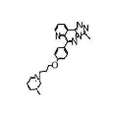 Cc1nnc2c3cccnc3c(-c3ccc(OCCCN4CCC[C@H](C)C4)cc3)nn12